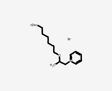 CCCCCCCCCCCCCCCCOC(C)C[n+]1ccccc1.[Br-]